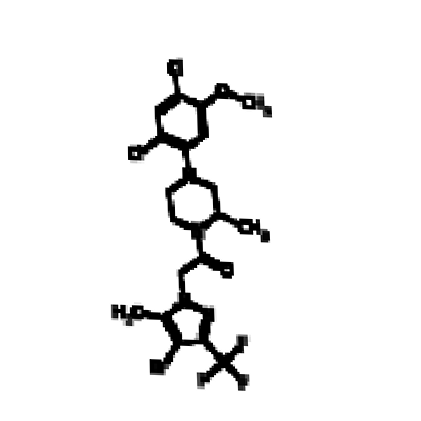 COc1cc(N2CCN(C(=O)Cn3nc(C(F)(F)F)c(Br)c3C)C(C)C2)c(Cl)cc1Cl